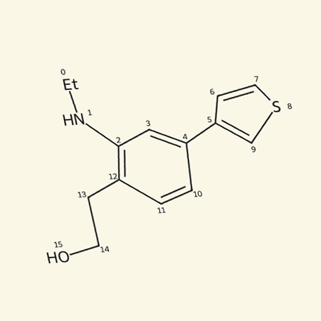 CCNc1cc(-c2ccsc2)ccc1CCO